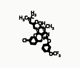 CN(C)CC(=O)CN1C(=O)c2c(nc(Oc3cccc(OC(F)(F)F)c3)n2Cc2ccc(Cl)cc2)N(C)C1O